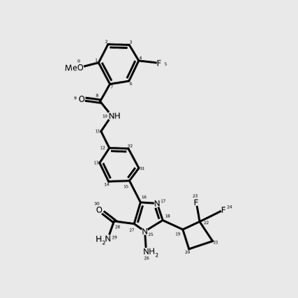 COc1ccc(F)cc1C(=O)NCc1ccc(-c2nc(C3CCC3(F)F)n(N)c2C(N)=O)cc1